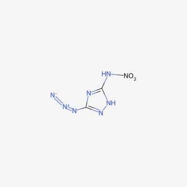 [N-]=[N+]=Nc1n[nH]c(N[N+](=O)[O-])n1